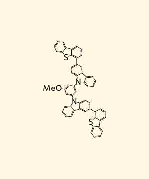 COc1cc(-n2c3ccccc3c3cc(-c4cccc5c4sc4ccccc45)ccc32)cc(-n2c3ccccc3c3cc(-c4cccc5c4sc4ccccc45)ccc32)c1